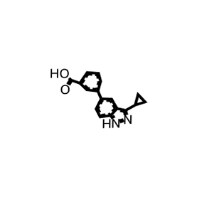 O=C(O)c1cccc(-c2ccc3[nH]nc(C4CC4)c3c2)c1